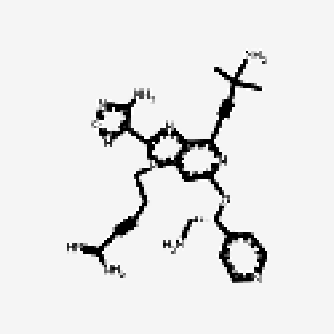 CC(C)(N)C#Cc1nc(O[C@@H](CN)c2ccncc2)cc2c1nc(-c1nonc1N)n2CCC#CC(=N)N